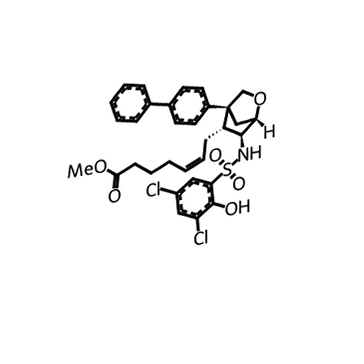 COC(=O)CCC/C=C\C[C@H]1[C@H](NS(=O)(=O)c2cc(Cl)cc(Cl)c2O)[C@@H]2C[C@@]1(c1ccc(-c3ccccc3)cc1)CO2